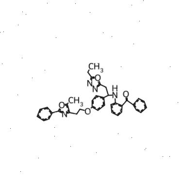 CCc1nnc(CC(Nc2ccccc2C(=O)c2ccccc2)c2ccc(OCCc3nc(-c4ccccc4)oc3C)cc2)o1